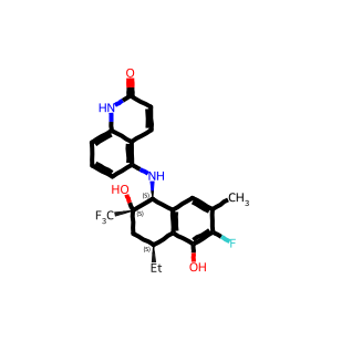 CC[C@H]1C[C@@](O)(C(F)(F)F)[C@@H](Nc2cccc3[nH]c(=O)ccc23)c2cc(C)c(F)c(O)c21